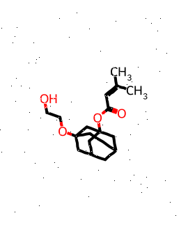 CC(C)=CC(=O)OC12CC3CC(CC(OCCO)(C3)C1)C2